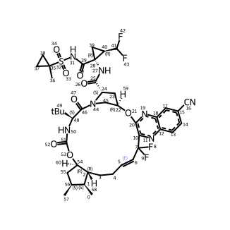 C[C@@H]1[C@H]2CC/C=C/C(F)(F)c3nc4ccc(C#N)cc4nc3O[C@@H]3C[C@@H](C(=O)N[C@]4(C(=O)NS(=O)(=O)C5(C)CC5)C[C@H]4C(F)F)N(C3)C(=O)[C@H](C(C)(C)C)NC(=O)O[C@@H]2C[C@@H]1C